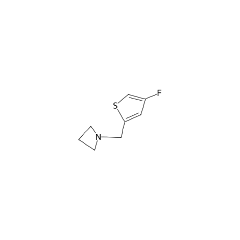 Fc1csc(CN2CCC2)c1